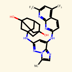 N#Cc1cnc2c(Nc3ccc4c(C(F)(F)F)cc(C(F)(F)F)nc4n3)cc(NC34CC5CC(O)(CC(O)(C5)C3)C4)nn12